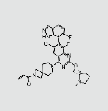 C=CC(=O)N1CC2(CCN(c3nc(OC[C@@H]4CCCN4C)nc4c(F)c(-c5c(F)ccc6cn[nH]c56)c(Cl)cc34)CC2)C1